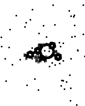 CC1(C)C[C@@H]2CC[C@H](c3ccccn3)Nc3cccc(n3)SNC(=O)c3ccc(C4=CCC(F)(F)CC4)nc3N1C2